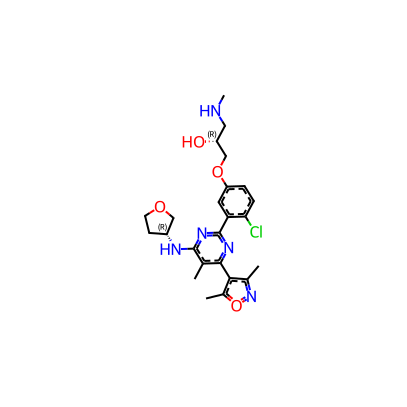 CNC[C@@H](O)COc1ccc(Cl)c(-c2nc(N[C@@H]3CCOC3)c(C)c(-c3c(C)noc3C)n2)c1